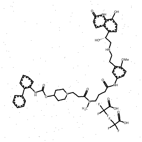 COc1ccc(NC(=O)CCCN(C)C(=O)CCN2CCC(OC(=O)Nc3ccccc3-c3ccccc3)CC2)cc1CCNC[C@H](O)c1ccc(O)c2[nH]c(=O)ccc12.O=C(O)C(F)(F)F.O=C(O)C(F)(F)F